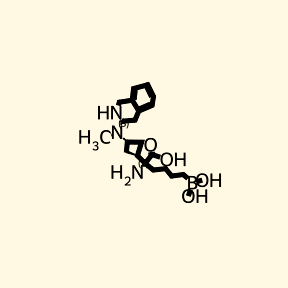 CN([C@H]1C[C@H]([C@@](N)(CCCCB(O)O)C(=O)O)C1)[C@H]1Cc2ccccc2CN1